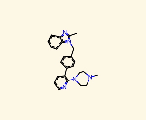 Cc1nc2ccccc2n1Cc1ccc(-c2cccnc2N2CCN(C)CC2)cc1